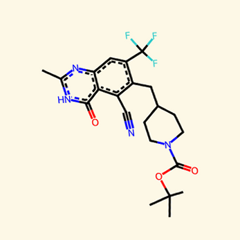 Cc1nc2cc(C(F)(F)F)c(CC3CCN(C(=O)OC(C)(C)C)CC3)c(C#N)c2c(=O)[nH]1